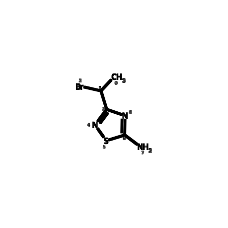 CC(Br)c1nsc(N)n1